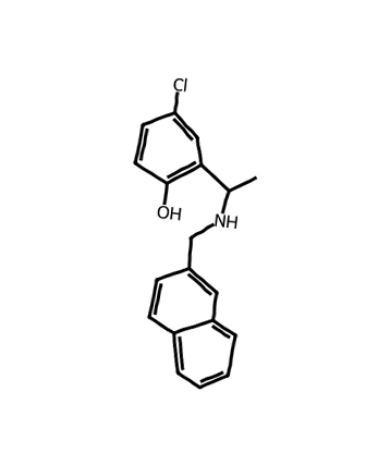 CC(NCc1ccc2ccccc2c1)c1cc(Cl)ccc1O